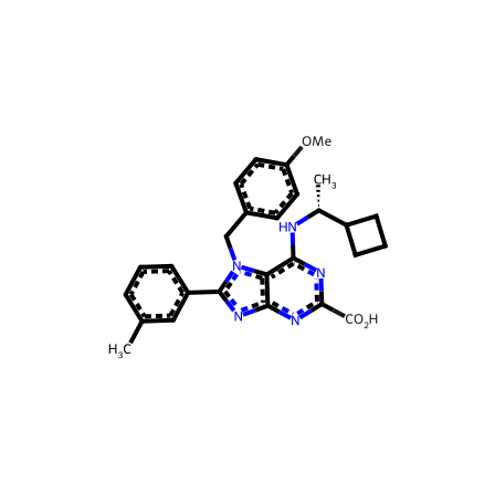 COc1ccc(Cn2c(-c3cccc(C)c3)nc3nc(C(=O)O)nc(N[C@H](C)C4CCC4)c32)cc1